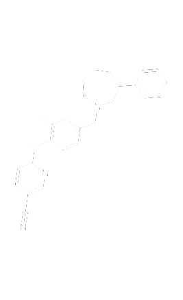 Cc1cc(CN2CCCCC(c3ccccc3)C2)ccc1Oc1ccc(C#N)cn1